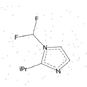 CC(C)c1nccn1C(F)F